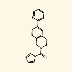 O=C(N1CCc2cc(-c3ccccn3)ccc2C1)n1ccnc1